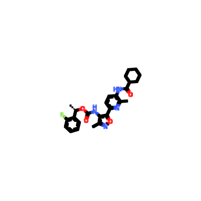 Cc1nc(-c2onc(C)c2NC(=O)O[C@@H](C)c2ccccc2F)ccc1NC(=O)C1CCCCC1